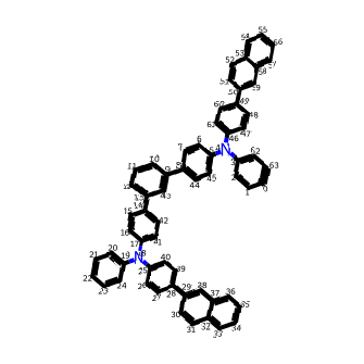 c1ccc(N(c2ccc(-c3cccc(-c4ccc(N(c5ccccc5)c5ccc(-c6ccc7ccccc7c6)cc5)cc4)c3)cc2)c2ccc(-c3ccc4ccccc4c3)cc2)cc#1